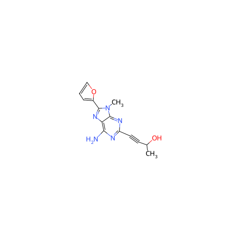 CC(O)C#Cc1nc(N)c2nc(-c3ccco3)n(C)c2n1